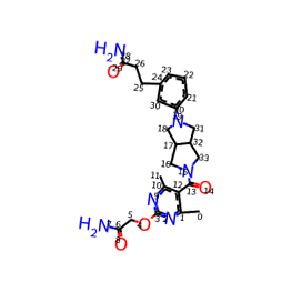 Cc1nc(OCC(N)=O)nc(C)c1C(=O)N1CC2CN(c3cccc(CCC(N)=O)c3)CC2C1